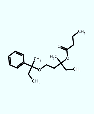 CCCC(=O)OC(C)(CC)CCOC(C)(CC)c1ccccc1